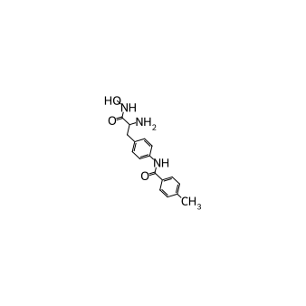 Cc1ccc(C(=O)Nc2ccc(CC(N)C(=O)NO)cc2)cc1